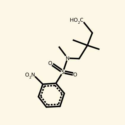 CN(CC(C)(C)CC(=O)O)S(=O)(=O)c1ccccc1[N+](=O)[O-]